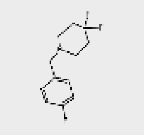 Fc1ccc(CN2CCC(F)(F)CC2)cc1